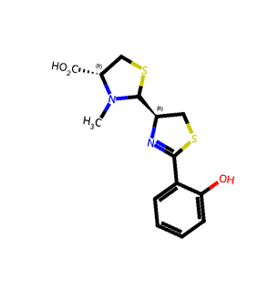 CN1C([C@H]2CSC(c3ccccc3O)=N2)SC[C@H]1C(=O)O